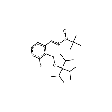 CC(C)[Si](OCc1c(F)cccc1C=N[S@@+]([O-])C(C)(C)C)(C(C)C)C(C)C